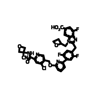 N#CC1(NC(=O)c2cc(Cl)c(COc3cccc(-c4cc(F)c(Cc5nc6c(F)cc(C(=O)O)cc6n5CC5CCO5)cc4F)n3)cn2)COC1